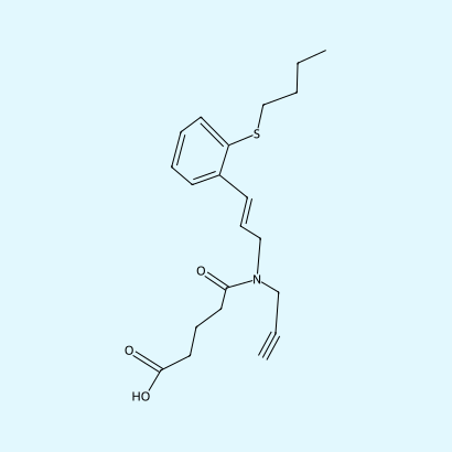 C#CCN(CC=Cc1ccccc1SCCCC)C(=O)CCCC(=O)O